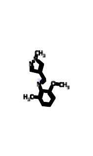 COc1cccc(C)c1/N=C/c1cnn(C)c1